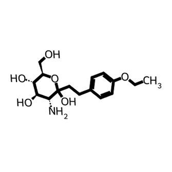 CCOc1ccc(CCC2(O)O[C@H](CO)[C@@H](O)[C@H](O)[C@H]2N)cc1